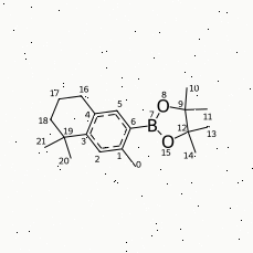 Cc1cc2c(cc1B1OC(C)(C)C(C)(C)O1)CCCC2(C)C